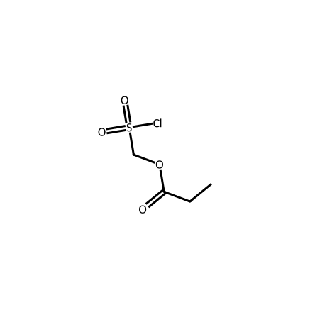 CCC(=O)OCS(=O)(=O)Cl